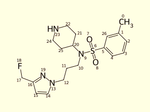 Cc1cccc(S(=O)(=O)N(CCCn2ccc(CF)n2)C2CCNCC2)c1